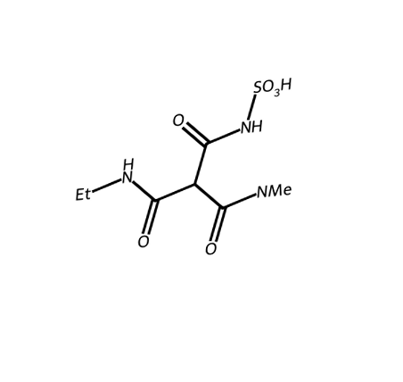 CCNC(=O)C(C(=O)NC)C(=O)NS(=O)(=O)O